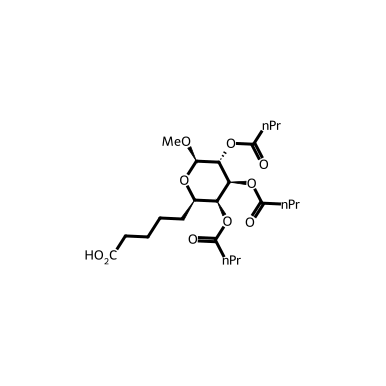 CCCC(=O)O[C@H]1[C@@H](OC(=O)CCC)[C@@H](CCCCC(=O)O)O[C@@H](OC)[C@@H]1OC(=O)CCC